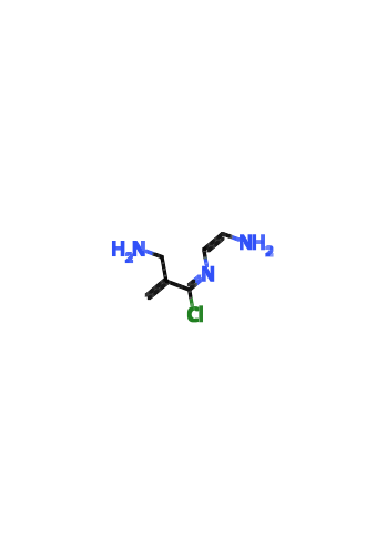 C=C(CN)/C(Cl)=N\C=C/N